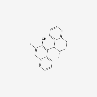 CN1CCc2ccccc2C1c1c(O)c(I)cc2ccccc12